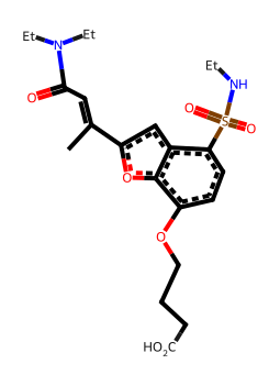 CCNS(=O)(=O)c1ccc(OCCCC(=O)O)c2oc(/C(C)=C/C(=O)N(CC)CC)cc12